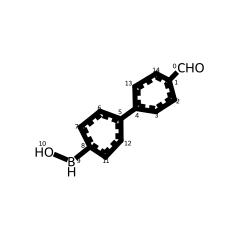 O=Cc1ccc(-c2ccc(BO)cc2)cc1